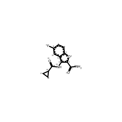 NC(=O)c1oc2ccc(F)cc2c1NC(=O)C1CC1